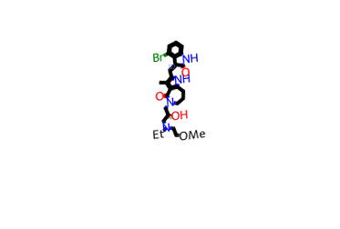 CCN(CCOC)C[C@H](O)CN1CCCc2[nH]c(/C=C3\C(=O)Nc4cccc(Br)c43)c(C)c2C1=O